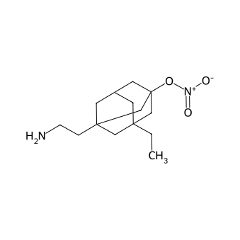 CCC12CC3CC(CCN)(C1)CC(O[N+](=O)[O-])(C3)C2